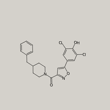 O=C(c1cc(-c2cc(Cl)c(O)c(Cl)c2)on1)N1CCC(Cc2ccccc2)CC1